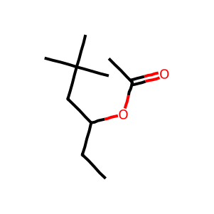 CCC(CC(C)(C)C)OC(C)=O